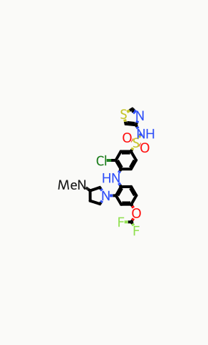 CNC1CCN(c2cc(OC(F)F)ccc2Nc2ccc(S(=O)(=O)Nc3cscn3)cc2Cl)C1